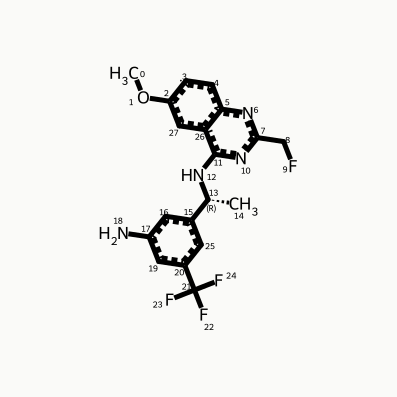 COc1[c]cc2nc(CF)nc(N[C@H](C)c3cc(N)cc(C(F)(F)F)c3)c2c1